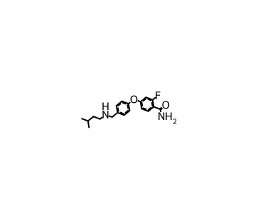 CC(C)CCNCc1ccc(Oc2ccc(C(N)=O)c(F)c2)cc1